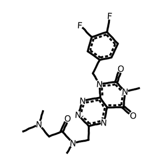 CN(C)CC(=O)N(C)Cc1nnc2c(n1)c(=O)n(C)c(=O)n2Cc1ccc(F)c(F)c1